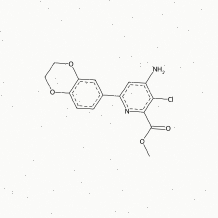 COC(=O)c1nc(-c2ccc3c(c2)OCCO3)cc(N)c1Cl